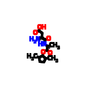 CC1CCC(C)C1OC(=O)[C@@H](C)NC(=O)[C@@H](N)CC(=O)O